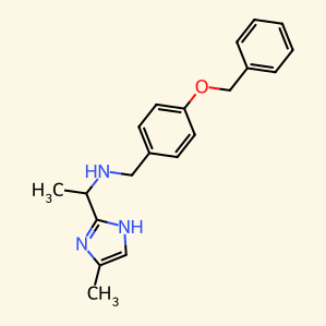 Cc1c[nH]c(C(C)NCc2ccc(OCc3ccccc3)cc2)n1